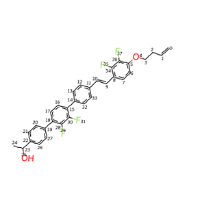 C=CCCOc1ccc(/C=C/c2ccc(-c3ccc(-c4ccc(C(C)O)cc4)c(F)c3F)cc2)c(F)c1F